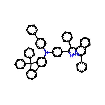 c1ccc(-c2ccc(N(c3ccc(-c4nn5c(-c6ccccc6)cc6ccccc6c5c4-c4ccccc4)cc3)c3ccc4c(c3)C(c3ccccc3)(c3ccccc3)c3ccccc3-4)cc2)cc1